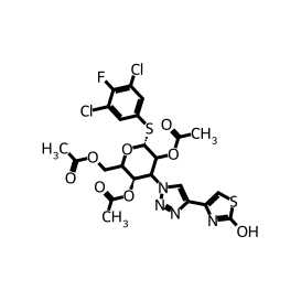 CC(=O)OCC1O[C@H](Sc2cc(Cl)c(F)c(Cl)c2)C(OC(C)=O)C(n2cc(-c3csc(O)n3)nn2)[C@H]1OC(C)=O